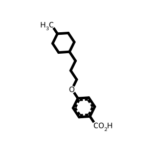 CC1CCC(CCCOc2ccc(C(=O)O)cc2)CC1